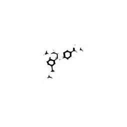 CC(=O)N1c2ccc(C(=O)OC(C)C)cc2[C@@H](Nc2ccc(C(=O)OC(C)C)cc2)C[C@H]1C